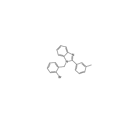 Cc1cccc(-c2nc3ccccc3n2Cc2ccccc2Br)c1